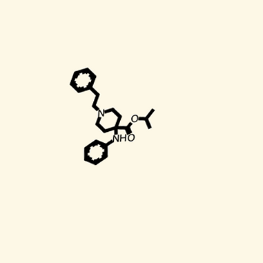 CC(C)OC(=O)C1(Nc2ccccc2)CCN(CCc2ccccc2)CC1